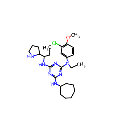 CCC(Nc1nc(NC2CCCCCC2)nc(N(CC)c2ccc(OC)c(Cl)c2)n1)C1CCCN1